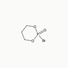 O=P1(Br)OCCCO1